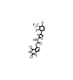 Cn1c(=O)c2c(CC(=O)Nc3nc(-c4ccc(F)c(C(F)(F)F)c4F)cs3)scc2n(C)c1=O